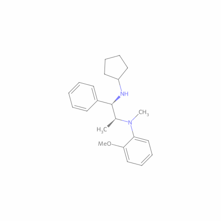 COc1ccccc1N(C)[C@@H](C)[C@H](NC1CCCC1)c1ccccc1